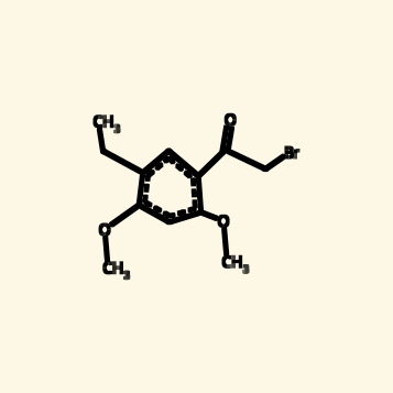 CCc1cc(C(=O)CBr)c(OC)cc1OC